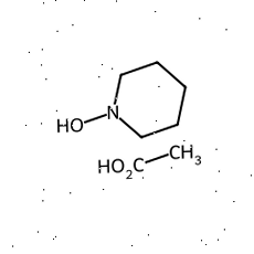 CC(=O)O.ON1CCCCC1